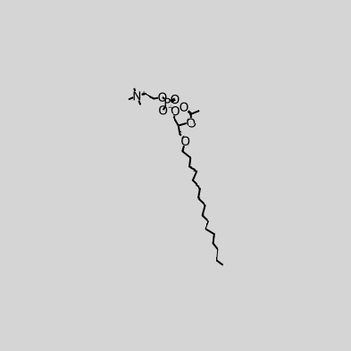 CCCCCCCCCCCCCCCCOCC(COP(=O)([O-])OCC[N+](C)(C)C)OC(C)=O